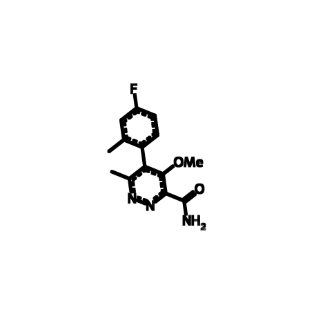 COc1c(C(N)=O)nnc(C)c1-c1ccc(F)cc1C